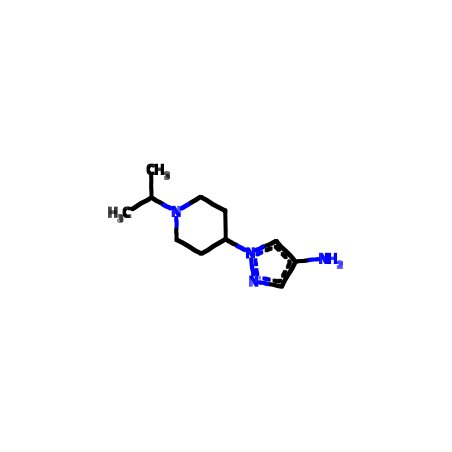 CC(C)N1CCC(n2cc(N)cn2)CC1